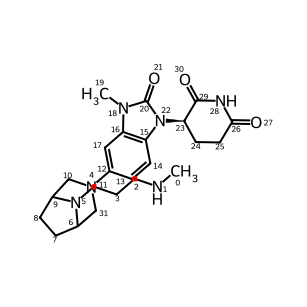 CNCCCN1C2CCC1CN(c1ccc3c(c1)n(C)c(=O)n3[C@@H]1CCC(=O)NC1=O)C2